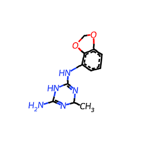 CC1N=C(N)NC(Nc2cccc3c2OCO3)=N1